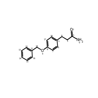 NC(=O)CCc1ccc(OCc2ccccc2)cc1